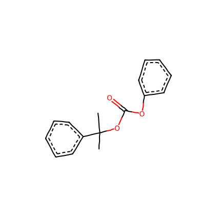 CC(C)(OC(=O)Oc1ccccc1)c1ccccc1